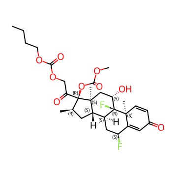 CCCCOC(=O)OCC(=O)[C@@]1(OC(=O)OC)[C@H](C)C[C@H]2[C@@H]3C[C@H](F)C4=CC(=O)C=C[C@]4(C)[C@@]3(F)[C@@H](O)C[C@@]21C